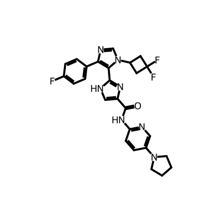 O=C(Nc1ccc(N2CCCC2)cn1)c1c[nH]c(-c2c(-c3ccc(F)cc3)ncn2C2CC(F)(F)C2)n1